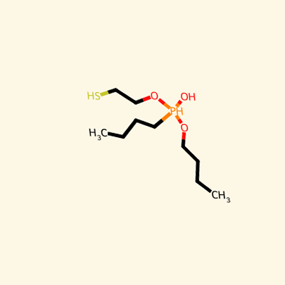 CCCCO[PH](O)(CCCC)OCCS